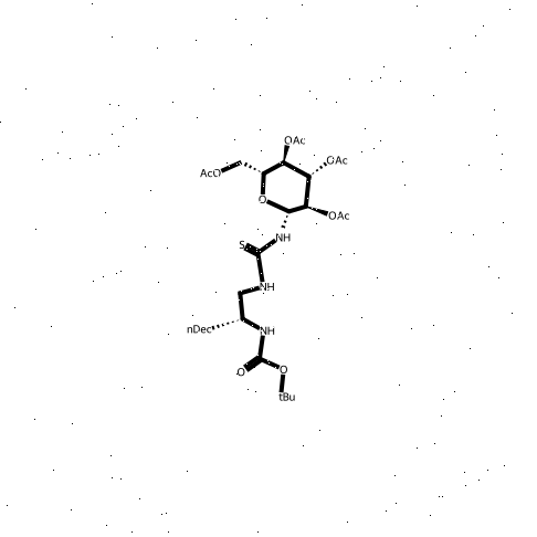 CCCCCCCCCC[C@H](CNC(=S)N[C@@H]1O[C@H](COC(C)=O)[C@@H](OC(C)=O)[C@H](OC(C)=O)[C@H]1OC(C)=O)NC(=O)OC(C)(C)C